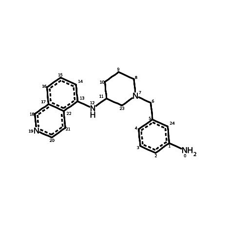 Nc1cccc(CN2CCCC(Nc3cccc4cnccc34)C2)c1